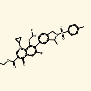 CCOC(=O)c1cn(C2CC2)c2c(OC(F)F)c(-c3ccc4c(c3)C(C)N(S(=O)(=O)c3ccc(C)cc3)C4)c(F)cc2c1=O